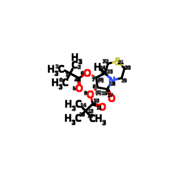 CC(C)(C)C(=O)O[C@H]1[C@@H](OC(=O)C(C)(C)C)C(=O)N2CCSC[C@@H]12